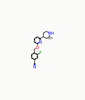 C[C@H]1CC(c2cccc(OCc3ccc(C#N)cc3F)n2)CCN1